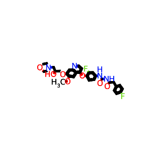 COc1cc2c(Oc3ccc(NC(=O)NC(=O)Cc4ccc(F)cc4)cc3F)ccnc2cc1OCC(O)CN1CCOCC1